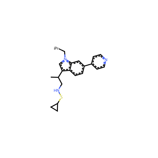 CC(C)Cn1cc(C(C)CNSC2CC2)c2ccc(-c3ccncc3)cc21